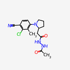 CC(=O)NNC(=O)CC1CCCN1c1ccc(C#N)c(Cl)c1C